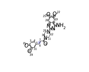 COc1ccc(/C=C/C(=O)N2CCN(c3nc(N)c4cc(OC)c(OC)cc4n3)CC2)cc1OC